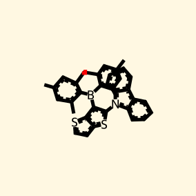 Cc1cc(C)c(B(c2c(C)cc(C)cc2C)c2c(-n3c4ccccc4c4ccccc43)sc3ccsc23)c(C)c1